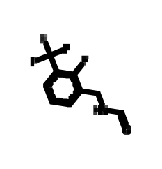 O=CNCc1cccc(C(F)(F)F)c1F